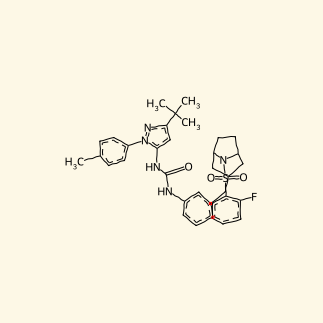 Cc1ccc(-n2nc(C(C)(C)C)cc2NC(=O)Nc2cccc(CC3CC4CCC(C3)N4S(=O)(=O)c3ccccc3F)c2)cc1